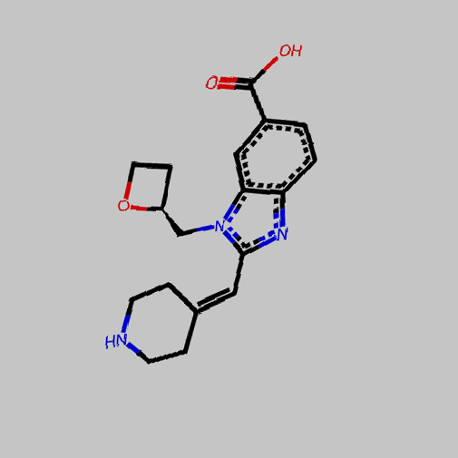 O=C(O)c1ccc2nc(C=C3CCNCC3)n(C[C@@H]3CCO3)c2c1